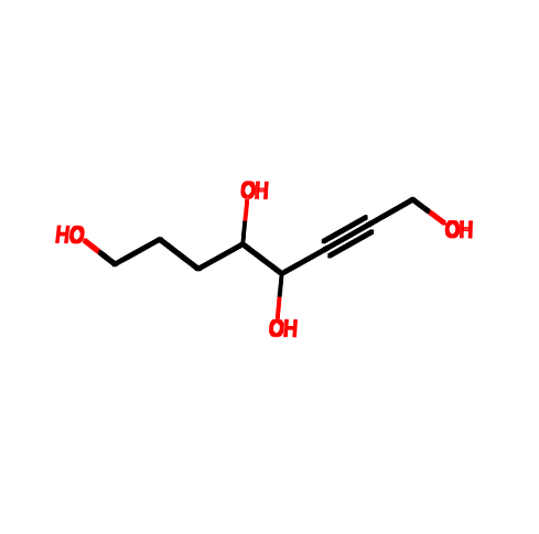 OCC#CC(O)C(O)CCCO